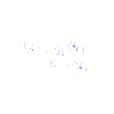 CN(CC1CCCC1)C(=O)OCc1c(-c2ccc(O[C@H]3CCC[C@H](C(=O)O)C3)c(C#N)n2)cnn1C